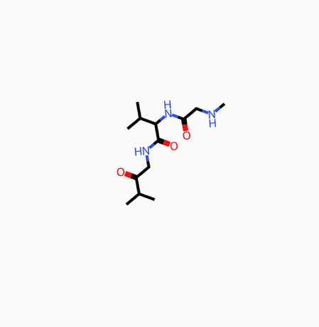 CNCC(=O)NC(C(=O)NCC(=O)C(C)C)C(C)C